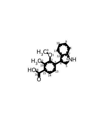 COc1c(-c2c[nH]c3ccccc23)ccc(C(=O)O)c1C